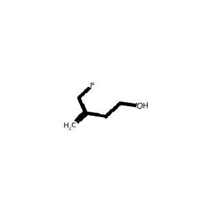 C=C(CF)CCO